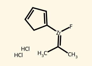 C[C](C)=[Zr]([F])[C]1=CC=CC1.Cl.Cl